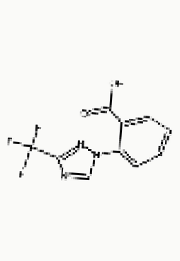 O=C(O)c1ccccc1-n1cnc(C(F)(F)F)n1